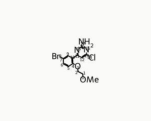 COCCOc1ccc(Br)cc1-c1cc(Cl)nc(N)n1